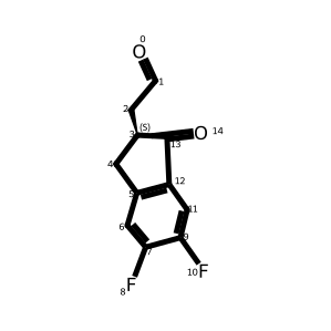 O=CC[C@@H]1Cc2cc(F)c(F)cc2C1=O